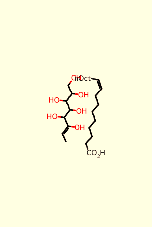 CC=C(O)C(O)C(O)C(O)C(O)CO.CCCCCCCC/C=C\CCCCCCCC(=O)O